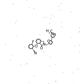 Cn1cc(-c2ccc(CN3Cc4cccc(Oc5c(F)cccc5C#N)c4C3=O)o2)cn1